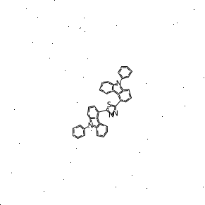 c1ccc(-n2c3ccccc3c3c(-c4nnc(-c5cccc6c5c5ccccc5n6-c5ccccc5)s4)cccc32)cc1